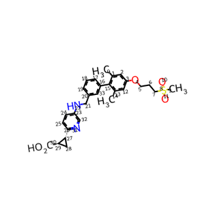 Cc1cc(OCCCS(C)(=O)=O)cc(C)c1-c1cccc(CNc2ccc([C@@H]3C[C@H]3C(=O)O)nc2)c1